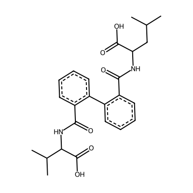 CC(C)CC(NC(=O)c1ccccc1-c1ccccc1C(=O)NC(C(=O)O)C(C)C)C(=O)O